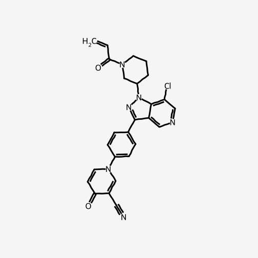 C=CC(=O)N1CCCC(n2nc(-c3ccc(-n4ccc(=O)c(C#N)c4)cc3)c3cncc(Cl)c32)C1